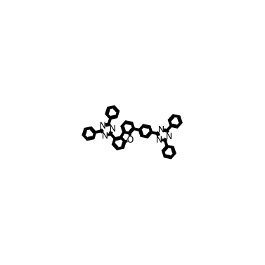 c1ccc(-c2nc(-c3ccccc3)nc(-c3ccc(-c4cccc5c4oc4cccc(-c6nc(-c7ccccc7)nc(-c7ccccc7)n6)c45)cc3)n2)cc1